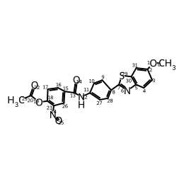 COc1ccc2nc(-c3ccc(NC(=O)c4ccc(OC(C)=O)c(N=O)c4)cc3)sc2c1